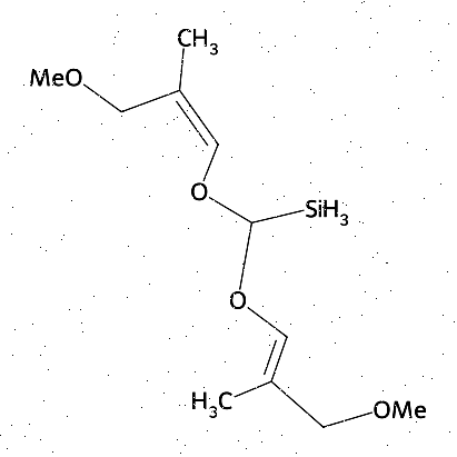 COCC(C)=COC([SiH3])OC=C(C)COC